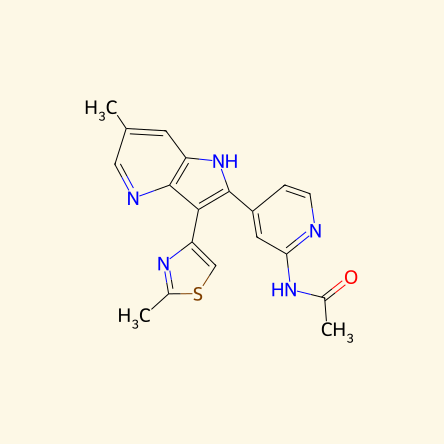 CC(=O)Nc1cc(-c2[nH]c3cc(C)cnc3c2-c2csc(C)n2)ccn1